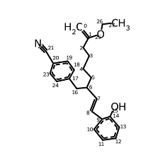 C=C(CCCCC(/C=C/c1ccccc1O)Cc1ccc(C#N)cc1)OCC